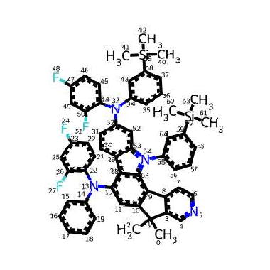 CC1(C)c2cnccc2-c2c1cc(N(c1ccccc1)c1ccc(F)cc1F)c1c3ccc(N(c4cccc([Si](C)(C)C)c4)c4ccc(F)cc4F)cc3n(-c3cccc([Si](C)(C)C)c3)c21